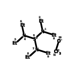 CCN(CC)[S+](N(CC)CC)N(CC)CC.[O-]C(F)(F)F